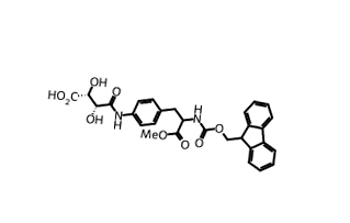 COC(=O)C(Cc1ccc(NC(=O)[C@H](O)[C@@H](O)C(=O)O)cc1)NC(=O)OCC1c2ccccc2-c2ccccc21